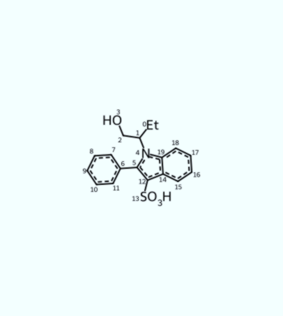 CCC(CO)n1c(-c2ccccc2)c(S(=O)(=O)O)c2ccccc21